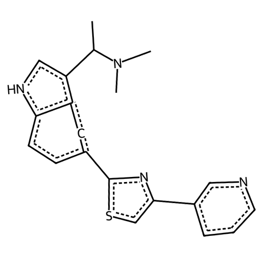 CC(c1c[nH]c2ccc(-c3nc(-c4cccnc4)cs3)cc12)N(C)C